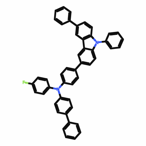 Fc1ccc(N(c2ccc(-c3ccccc3)cc2)c2ccc(-c3ccc4c(c3)c3cc(-c5ccccc5)ccc3n4-c3ccccc3)cc2)cc1